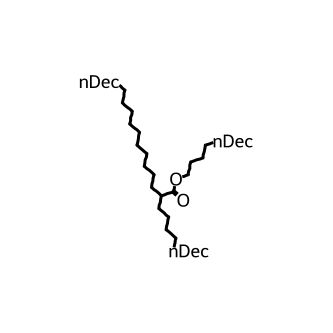 CCCCCCCCCCCCCCCCCCCCC(CCCCCCCCCCCCCC)C(=O)OCCCCCCCCCCCCCC